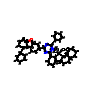 CC1(C)c2c(-c3nc(-c4ccccc4)nc(-c4ccc5c(c4)oc4cccc(-c6ccccc6)c45)n3)cccc2-c2ccc3ccccc3c21